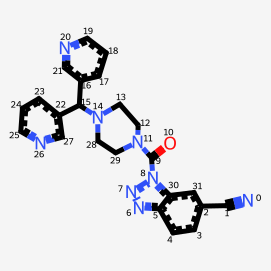 N#Cc1ccc2nnn(C(=O)N3CCN(C(c4cccnc4)c4cccnc4)CC3)c2c1